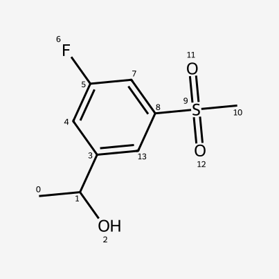 CC(O)c1cc(F)cc(S(C)(=O)=O)c1